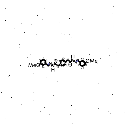 COc1cccc(/C=N/NC(=O)Cc2ccc(CC(=O)N/N=C/c3cccc(OC)c3)cc2)c1